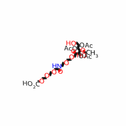 CC(=O)OC(CO)C(OC(C)=O)C(OC(C)O)C(OC(C)=O)C(=O)COCCOCCNC(=O)COCCOCCOCC(=O)O